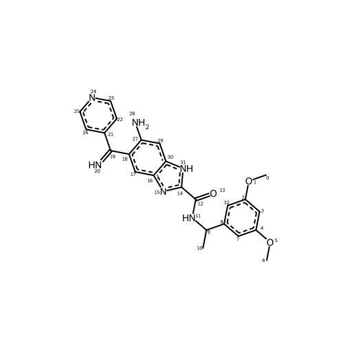 COc1cc(OC)cc(C(C)NC(=O)c2nc3cc(C(=N)c4ccncc4)c(N)cc3[nH]2)c1